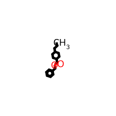 CCCC1CCC(C(=O)OCc2ccccc2)CC1